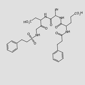 CC(C)C(NC(=O)C(CCC(=O)O)NC(=O)CCc1ccccc1)C(=O)NC(CC(=O)O)C(=O)CNS(=O)(=O)CCc1ccccc1